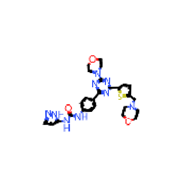 O=C(Nc1ccc(-c2nc(-c3ccc(CN4CCOCC4)s3)nc(N3CCOCC3)n2)cc1)Nc1ccn[nH]1